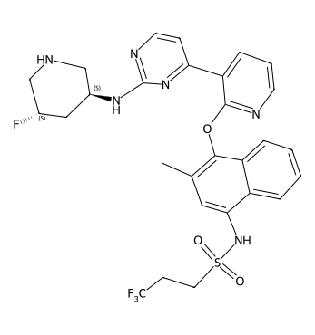 Cc1cc(NS(=O)(=O)CCC(F)(F)F)c2ccccc2c1Oc1ncccc1-c1ccnc(N[C@@H]2CNC[C@@H](F)C2)n1